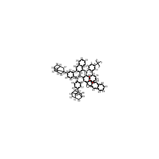 CC(C)(C)c1ccc(N2c3cc4c(cc3B3c5c(cc6ccccc6c52)-c2cc(C56CC7CC(CC(C7)C5)C6)ccc2N3c2ccc(C35CC6CC(CC(C6)C3)C5)cc2)oc2cc3ccccc3cc24)c(-c2ccccc2)c1